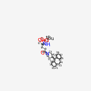 CC(C)(C)OC(=O)N[C@@H](CO)CCC(=O)N1CCC(=C2c3ccccc3C=Cc3ccccc32)CC1